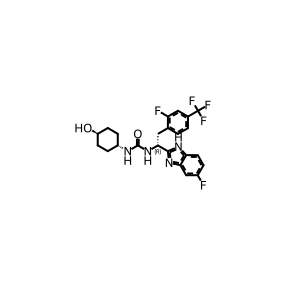 O=C(N[C@H](Cc1ccc(C(F)(F)F)cc1F)c1nc2cc(F)ccc2[nH]1)N[C@H]1CC[C@H](O)CC1